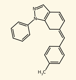 Cc1ccc(C=C2C=Cc3cnn(-c4ccccc4)c3C2)cc1